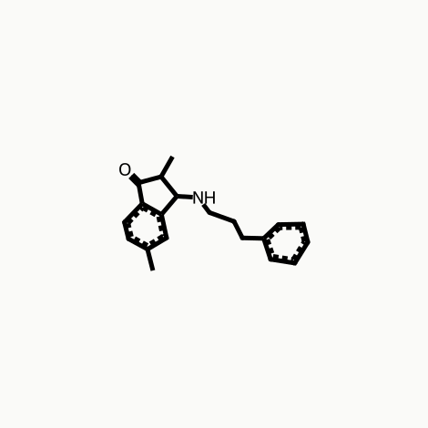 Cc1ccc2c(c1)C(NCCCc1ccccc1)C(C)C2=O